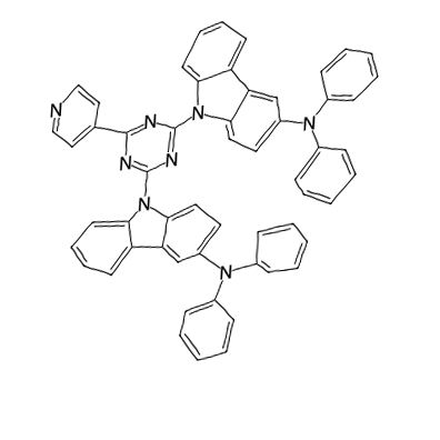 c1ccc(N(c2ccccc2)c2ccc3c(c2)c2ccccc2n3-c2nc(-c3ccncc3)nc(-n3c4ccccc4c4cc(N(c5ccccc5)c5ccccc5)ccc43)n2)cc1